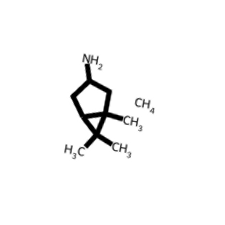 C.CC1(C)C2CC(N)CC21C